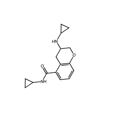 O=C(NC1CC1)c1cccc2c1CC(NC1CC1)CO2